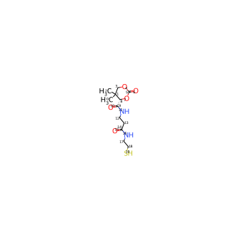 CC1(C)COC(=O)O[C@@H]1C(=O)NCCC(=O)NCCS